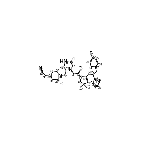 C[C@@H]1CN(CC(=O)N2CC(C)(C)c3c2cc(Cc2ccc(F)cc2)c2ncnn32)[C@@H](CN2CCN(CC#N)C[C@H]2C)CN1